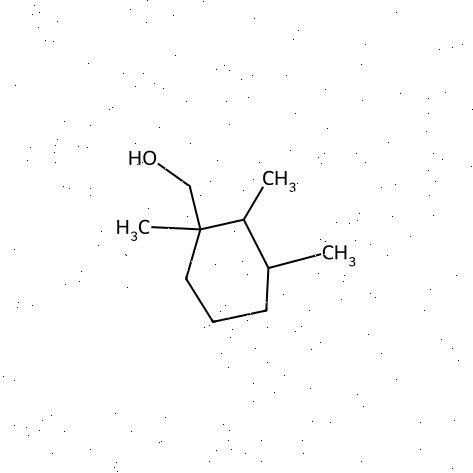 CC1CCCC(C)(CO)C1C